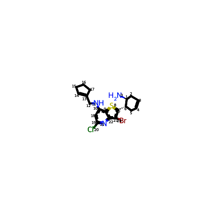 N[C@H]1CC=CC[C@@H]1c1sc2c(NCC3=CCCC3)cc(Cl)nc2c1Br